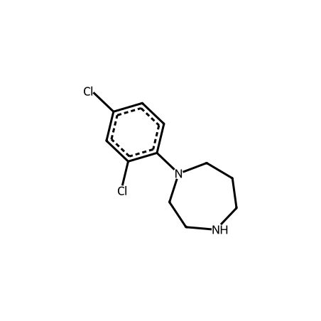 Clc1ccc(N2CCCNCC2)c(Cl)c1